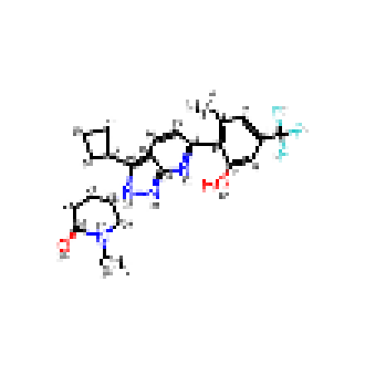 Cc1cc(C(F)(F)F)cc(O)c1-c1ccc2c(C3CCC3)n([C@H]3CCC(=O)N(C)C3)nc2n1